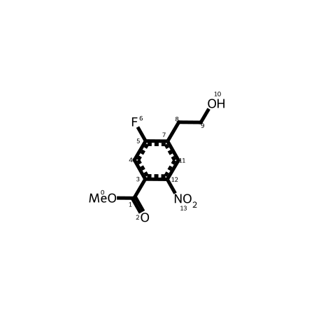 COC(=O)c1cc(F)c(CCO)cc1[N+](=O)[O-]